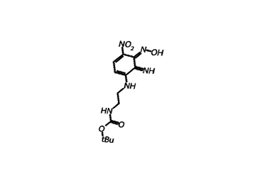 CC(C)(C)OC(=O)NCCNC1=CC=C([N+](=O)[O-])/C(=N/O)C1=N